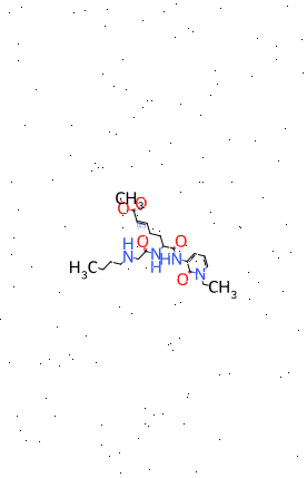 CCCCNCC(=O)NC(CC/C=C/C(=O)OC)C(=O)Nc1cccn(CC)c1=O